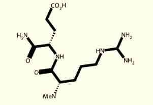 CN[C@@H](CCCNC(N)N)C(=O)N[C@@H](CCC(=O)O)C(N)=O